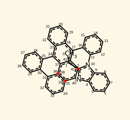 CCc1nc2ccccc2n1-c1ccccc1-c1c2ccccc2c(-c2ccccc2-c2ccccc2)c2ccccc12